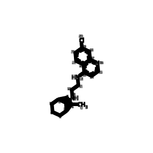 CC1=C2CCCC(=C1)C2NCCNc1ccnc2cc(Cl)ccc12